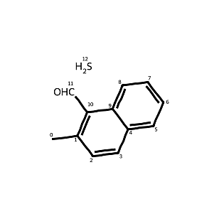 Cc1ccc2ccccc2c1C=O.S